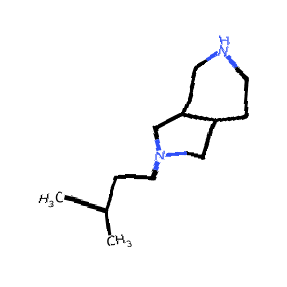 CC(C)CCN1CC2CCNCC2C1